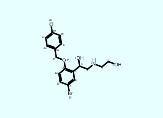 OCCNCC(O)c1cc(Br)ccc1OCc1ccc(Cl)cc1